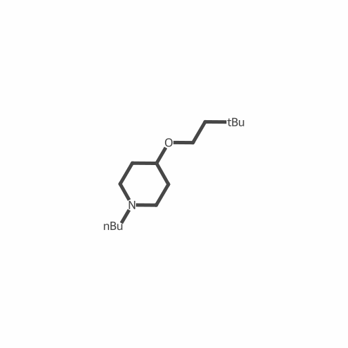 CCCCN1CCC(OCCC(C)(C)C)CC1